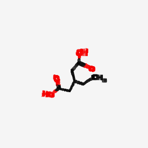 CCC(CC(=O)O)CC(=O)O